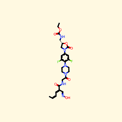 C\C=C/C=C(\C=N\O)C(=O)NCC(=O)N1CCN(c2c(F)cc(N3C[C@H](CNC(=O)OCC)OC3=O)cc2F)CC1